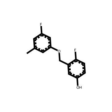 Cc1cc(F)cc(OCc2cc(O)ccc2F)c1